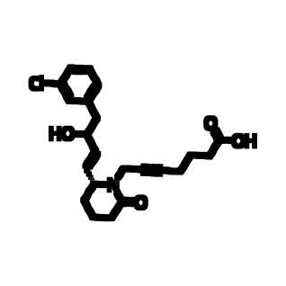 O=C(O)CCCC#CCN1C(=O)CCC[C@@H]1/C=C/C(O)Cc1cccc(Cl)c1